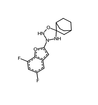 Fc1cc(F)c2oc(N3NOC4(CC5CCC4CC5)N3)cc2c1